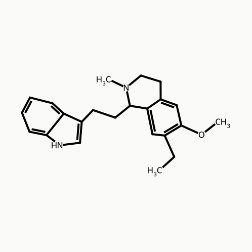 CCc1cc2c(cc1OC)CCN(C)C2CCc1c[nH]c2ccccc12